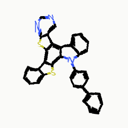 c1ccc(-c2ccc(-n3c4ccccc4c4c5c6cncnc6sc5c5c6ccccc6sc5c43)cc2)cc1